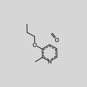 C=O.CCCOc1cccnc1C